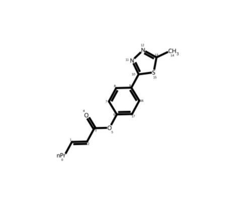 CCCC=CC(=O)Oc1ccc(-c2nnc(C)s2)cc1